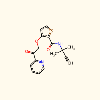 C#CC(C)(C)NC(=O)c1sccc1OCC(=O)c1ccccn1